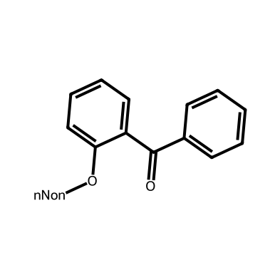 CCCCCCCCCOc1ccccc1C(=O)c1ccccc1